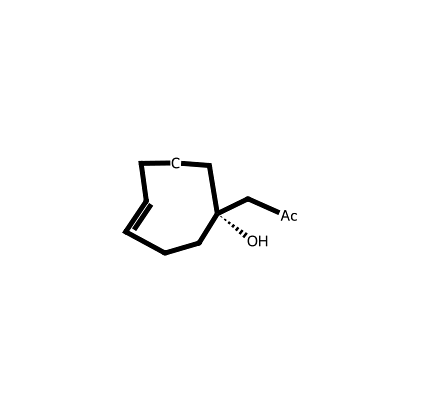 CC(=O)C[C@@]1(O)CC/C=C/CCC1